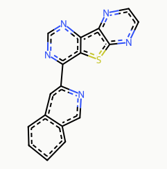 c1ccc2cc(-c3ncnc4c3sc3nccnc34)ncc2c1